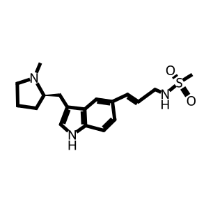 CN1CCC[C@@H]1Cc1c[nH]c2ccc(/C=C/CNS(C)(=O)=O)cc12